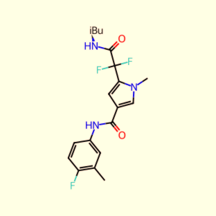 CC[C@H](C)NC(=O)C(F)(F)c1cc(C(=O)Nc2ccc(F)c(C)c2)cn1C